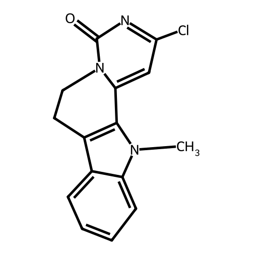 Cn1c2c(c3ccccc31)CCn1c-2cc(Cl)nc1=O